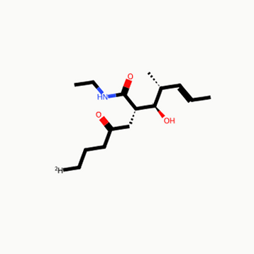 [2H]CCCC(=O)C[C@H](C(=O)NCC)[C@H](O)[C@H](C)/C=C/C